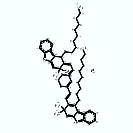 CCCCCCCCCCC1=C(C=CC2=CC(=CC=C3C(CCCCCCCCCC)C4=c5ccccc5=NC4=CC3(C)C)CCC2)C(C)(C)C=C2N=c3ccccc3=C21.I